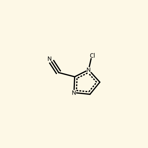 N#Cc1nccn1Cl